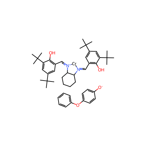 CC(C)(C)c1cc(C=[N+]2[Cr][N+](=Cc3cc(C(C)(C)C)cc(C(C)(C)C)c3O)C3CCCCC32)c(O)c(C(C)(C)C)c1.[O-]c1ccc(Oc2ccccc2)cc1